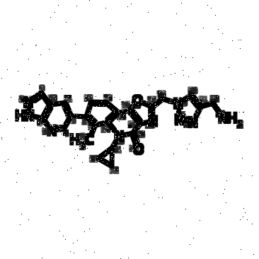 Cc1c(-c2cnc3[nH]ncc3c2)ccc2c3oc(Cn4cc(CN)nn4)nc3c(=O)n(C3CC3)c12